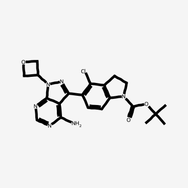 CC(C)(C)OC(=O)N1CCc2c1ccc(-c1nn(C3COC3)c3ncnc(N)c13)c2Cl